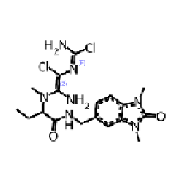 CCC(C(=O)NCc1ccc2c(c1)n(C)c(=O)n2C)N(C)/C(N)=C(Cl)/N=C(\N)Cl